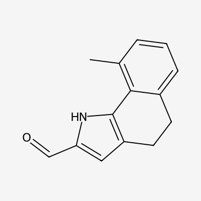 Cc1cccc2c1-c1[nH]c(C=O)cc1CC2